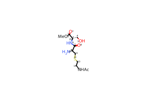 COC(=O)[C@H](CO)NC(=O)[C@@H](N)CSCCNC(C)=O